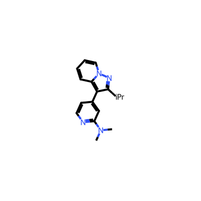 CC(C)c1nn2ccccc2c1-c1ccnc(N(C)C)c1